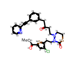 COC(=O)c1cc(Cl)c(CCN2C(=O)SCCN2CCC(=O)Cc2cccc(C#Cc3ccccn3)c2)s1